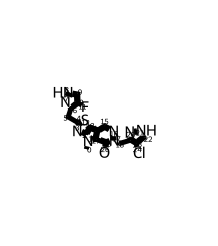 Cn1c2nc(Cc3n[nH]cc3F)sc2c2cnn(Cc3n[nH]cc3Cl)c(=O)c21